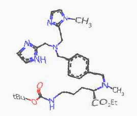 CCOC(=O)[C@@H](CCCNC(=O)OC(C)(C)C)N(C)Cc1ccc(CN(Cc2ncc[nH]2)Cc2nccn2C)cc1